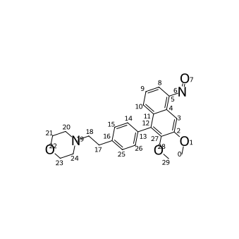 COc1cc2c(N=O)cccc2c(-c2ccc(CCN3CCOCC3)cc2)c1OC